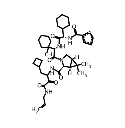 C=CCNC(=O)C(=O)C(CC1CCC1)NC(=O)[C@@H]1[C@@H]2[C@H](CN1C(=O)[C@@H](NC(=O)[C@@H](NC(=O)c1cccs1)C1CCCCC1)C1(C)CCCCC1)C2(C)C